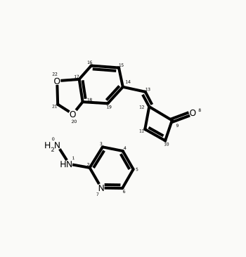 NNc1ccccn1.O=C1C=CC1=Cc1ccc2c(c1)OCO2